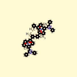 Cc1cc(-c2ccc(C)c(-c3ccc4c(c3)c3cc(-c5ccccc5C)ccc3n4-c3c(-c4ccccc4C#N)cc(-c4cc(-c5ccccc5)nc(-c5ccccc5)n4)cc3-c3ccccc3C#N)c2)cc(-c2ccc3c(c2)c2ccccc2n3-c2c(-c3ccccc3C#N)cc(-c3cc(-c4ccccc4)nc(-c4ccccc4)n3)cc2-c2ccccc2C#N)c1